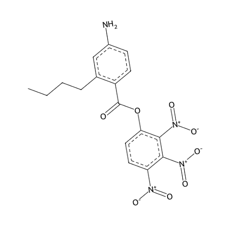 CCCCc1cc(N)ccc1C(=O)Oc1ccc([N+](=O)[O-])c([N+](=O)[O-])c1[N+](=O)[O-]